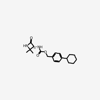 CC1(C)NC(=O)[C@@H]1NC(=O)OCc1ccc(C2CCCCC2)cc1